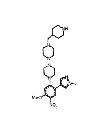 COc1cc(N2CCN(N3CCN(CC4CCNCC4)CC3)CC2)c(-c2cnn(C)c2)cc1[N+](=O)[O-]